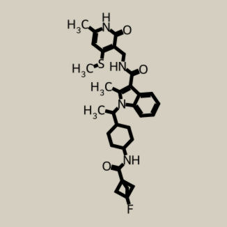 CSc1cc(C)[nH]c(=O)c1CNC(=O)c1c(C)n(C(C)C2CCC(NC(=O)C34CC(F)(C3)C4)CC2)c2ccccc12